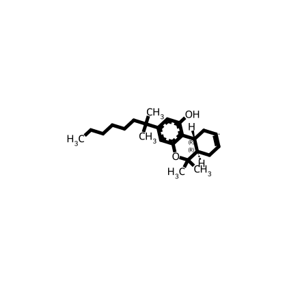 CCCCCCC(C)(C)c1cc(O)c2c(c1)OC(C)(C)[C@@H]1CC=[C]C[C@@H]21